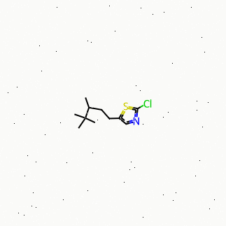 CC(CCc1cnc(Cl)s1)C(C)(C)C